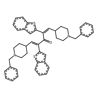 O=C(C(=CC1CCN(Cc2ccccc2)CC1)c1cc2ccccc2s1)C(=CC1CCN(Cc2ccccc2)CC1)c1cc2ccccc2s1